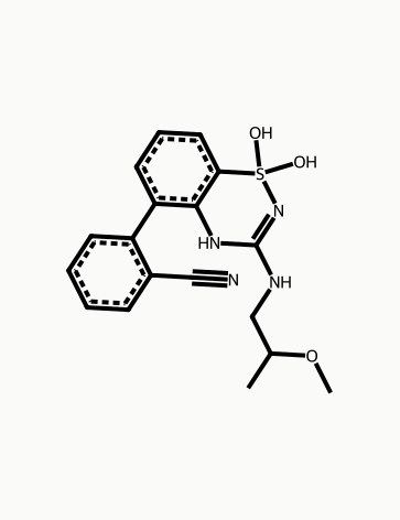 COC(C)CNC1=NS(O)(O)c2cccc(-c3ccccc3C#N)c2N1